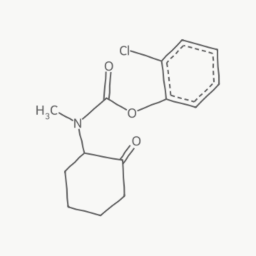 CN(C(=O)Oc1ccccc1Cl)C1CCCCC1=O